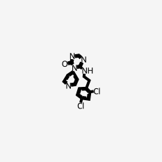 O=c1ncnc(NCCc2ccc(Cl)cc2Cl)n1-c1ccncc1